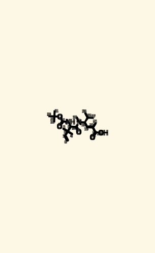 C=CC(C)(C)C(NC(=O)OC(C)(C)C)C(=O)N(C)[C@H](/C=C(\C)C(=O)O)C(C)C